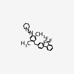 Cc1cc(N=CN2CCCCC2)c(C)cc1Cc1ccc(-c2ccccc2C(F)(F)F)cc1